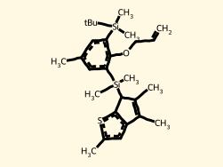 C=CCOc1c([Si](C)(C)C2C(C)=C(C)c3cc(C)sc32)cc(C)cc1[Si](C)(C)C(C)(C)C